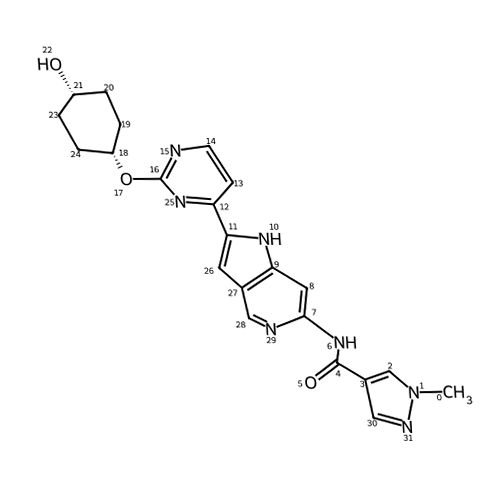 Cn1cc(C(=O)Nc2cc3[nH]c(-c4ccnc(O[C@H]5CC[C@@H](O)CC5)n4)cc3cn2)cn1